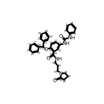 O=C(Nc1ccccc1)Nc1ccc(OC(c2ccccc2)c2ccccc2)c(C(=O)NCCCN2CCCC2=O)c1